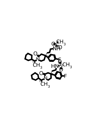 C[C@@H](C1CCCCC1)N1CC[C@](CCCNS(C)(=O)=O)(c2ccc(F)cc2)CC1=O.C[C@@H](C1CCCCC1)N1CC[C@](CCNS(C)(=O)=O)(c2ccc(F)cc2)CC1=O